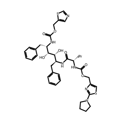 CC(C)[C@H](NC(=O)OCc1csc(N2CCCC2)n1)C(=O)N[C@@H](Cc1ccccc1)[C@@H](O)[C@H](O)[C@H](Cc1ccccc1)NC(=O)OCc1cncs1